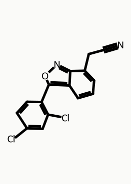 N#CCc1cccc2c(-c3ccc(Cl)cc3Cl)onc12